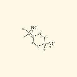 [C-]#[N+]C1(C)CCC(C(C)(C)[N+]#[C-])CC1